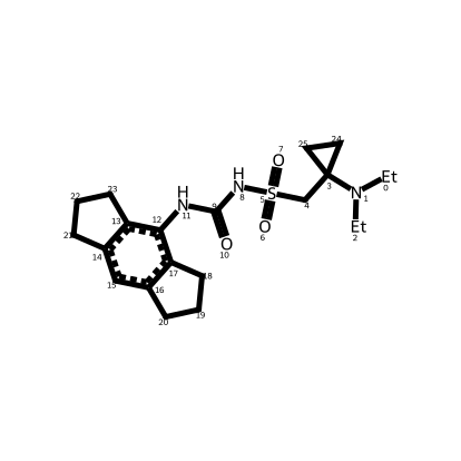 CCN(CC)C1(CS(=O)(=O)NC(=O)Nc2c3c(cc4c2CCC4)CCC3)CC1